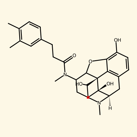 Cc1ccc(CCC(=O)N(C)C2CC[C@@]3(O)[C@H]4Cc5ccc(O)c6c5[C@@]3(C(O)CN4C)C2O6)cc1C